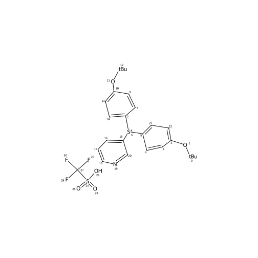 CC(C)(C)Oc1ccc([S+](c2ccc(OC(C)(C)C)cc2)c2cccnc2)cc1.O=S(=O)(O)C(F)(F)F